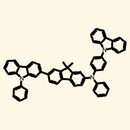 CC1(C)c2cc(-c3ccc4c5ccccc5n(-c5ccccc5)c4c3)ccc2-c2ccc(N(c3ccccc3)c3ccc(-n4c5ccccc5c5ccccc54)cc3)cc21